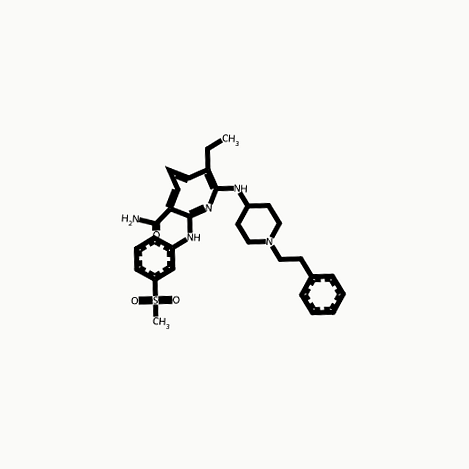 CCC1=C(NC2CCN(CCc3ccccc3)CC2)/N=C(Nc2cccc(S(C)(=O)=O)c2)\C(C(N)=O)=C\C=C\1